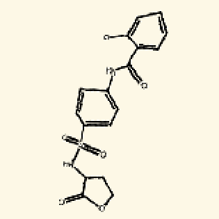 O=C(Nc1ccc(S(=O)(=O)NC2CCOC2=O)cc1)c1ccccc1Cl